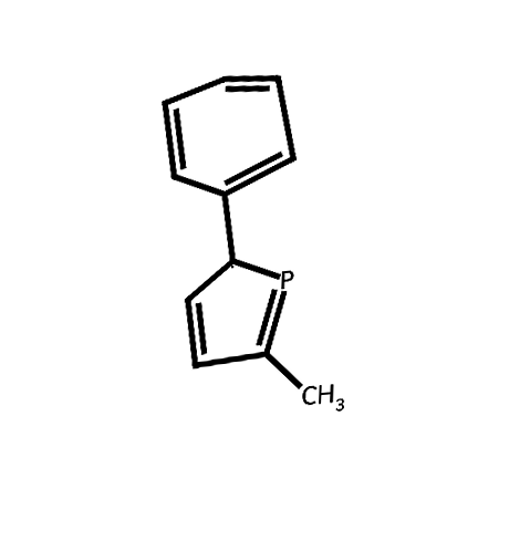 CC1=P[C](c2ccccc2)C=C1